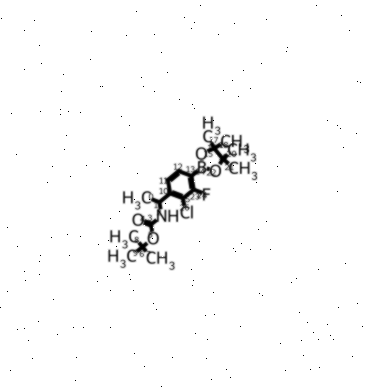 CC(NC(=O)OC(C)(C)C)c1ccc(B2OC(C)(C)C(C)(C)O2)c(F)c1Cl